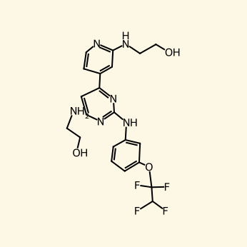 NCCO.OCCNc1cc(-c2ccnc(Nc3cccc(OC(F)(F)C(F)F)c3)n2)ccn1